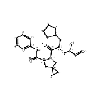 O=CN(O)C[C@@H](CC1CCCC1)C(=O)N1CC2(CC2)C[C@H]1C(=O)Nc1cnccn1